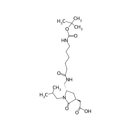 CC(C)CN1C(=O)[C@H](CC(=O)O)C[C@H]1CNC(=O)CCCCCNC(=O)OC(C)(C)C